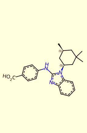 C[C@@H]1C[C@H](n2c(Nc3ccc(C(=O)O)cc3)nc3ccccc32)CC(C)(C)C1